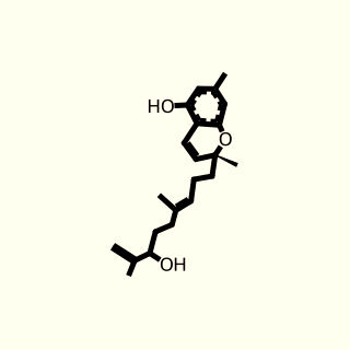 C=C(C)C(O)CC/C(C)=C/CC[C@]1(C)C=Cc2c(O)cc(C)cc2O1